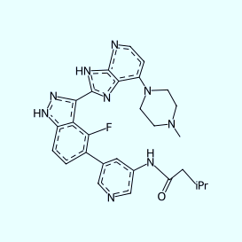 CC(C)CC(=O)Nc1cncc(-c2ccc3[nH]nc(-c4nc5c(N6CCN(C)CC6)ccnc5[nH]4)c3c2F)c1